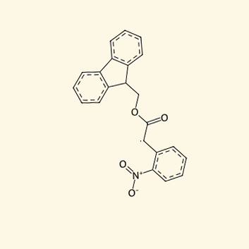 O=C([CH]c1ccccc1[N+](=O)[O-])OCC1c2ccccc2-c2ccccc21